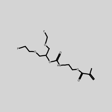 C=C(C)C(=O)OCCNC(=O)OC(COCF)COCCF